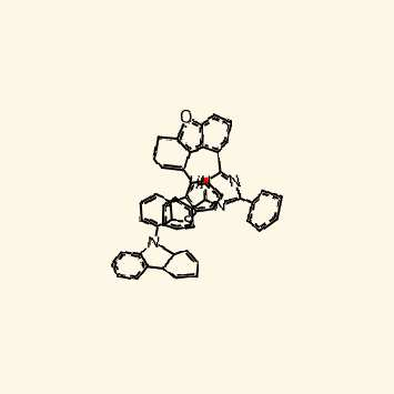 C1=CC2c3c(cccc3C3=CCCc4oc5cccc(C6=NC(c7ccccc7)=NC(c7ccccc7)N6)c5c43)SC2C(N2c3ccccc3C3C=CC=CC32)=C1